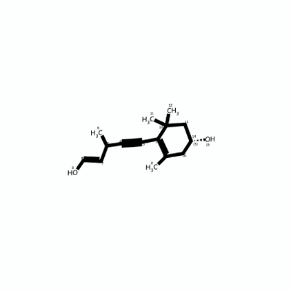 CC1=C(C#CC(C)C=CO)C(C)(C)C[C@H](O)C1